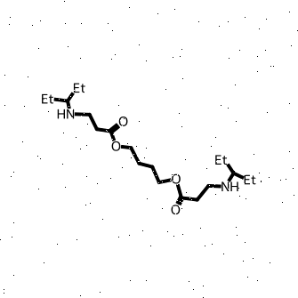 CCC(CC)NCCC(=O)OCCCCOC(=O)CCNC(CC)CC